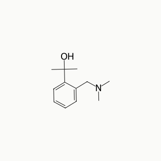 CN(C)Cc1ccccc1C(C)(C)O